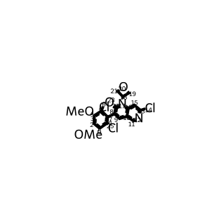 COc1cc(OC)c(Cl)c(-c2cc3cnc(Cl)cc3n(C3COC3)c2=O)c1Cl